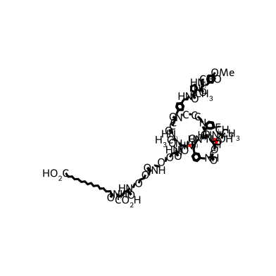 COc1ccc(C[C@H](NC=O)C(=O)N2CCC[C@@]2(C)C(=O)NCCc2ccc(CN3CCCCCCn4cc(c5cc(F)ccc54)C[C@@H]4NC(=O)[C@H](Cc5cccc(c5)CNC(=O)CO[C@H]5CCN(C4=O)C5C(=O)N[C@H](C)[C@@H](C)O)NC(=O)[C@@H](CNC(=O)COCCOCCNC(=O)COCCOCCNC(=O)CC[C@H](NC(=O)CCCCCCCCCCCCCCC(=O)O)C(=O)O)NC(=O)[C@H](C)NC(=O)CCC3=O)cc2)cc1